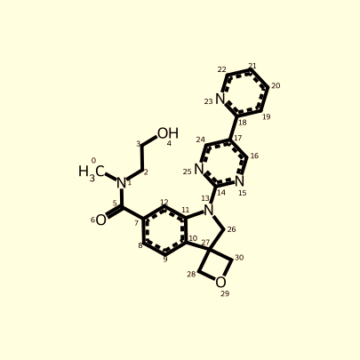 CN(CCO)C(=O)c1ccc2c(c1)N(c1ncc(-c3ccccn3)cn1)CC21COC1